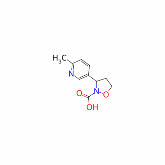 Cc1ccc(C2CCON2C(=O)O)cn1